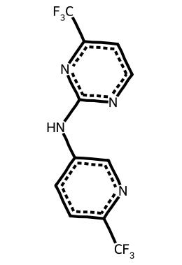 FC(F)(F)c1ccc(Nc2nccc(C(F)(F)F)n2)cn1